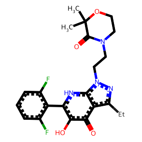 CCc1nn(CCN2CCOC(C)(C)C2=O)c2[nH]c(-c3c(F)cccc3F)c(O)c(=O)c12